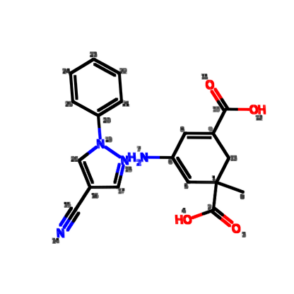 CC1(C(=O)O)C=C(N)C=C(C(=O)O)C1.N#Cc1cnn(-c2ccccc2)c1